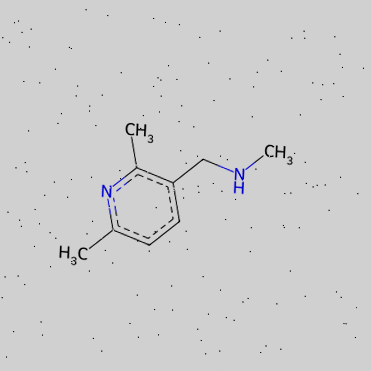 CNCc1ccc(C)nc1C